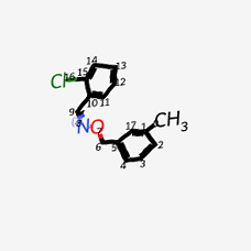 Cc1cccc(CO/N=[C]\c2ccccc2Cl)c1